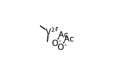 CC(=O)[O-].CC(=O)[O-].[CH3][V+2]([CH3])[CH3]